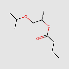 CCCC(=O)OC(C)COC(C)C